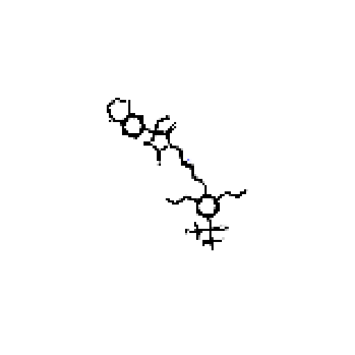 CCCc1cc(C(O)(C(F)(F)F)C(F)(F)F)cc(CCC)c1OC/C=C/CN1C(=O)NC(CC)(c2ccc3c(c2)OCCO3)C1=O